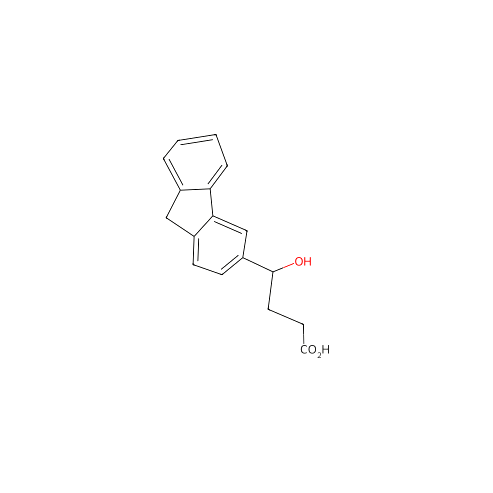 O=C(O)CCC(O)c1ccc2c(c1)-c1ccccc1C2